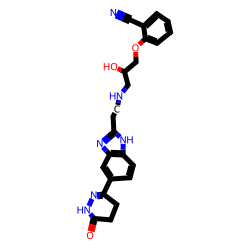 N#Cc1ccccc1OCC(O)CNCCc1nc2cc(C3=NNC(=O)CC3)ccc2[nH]1